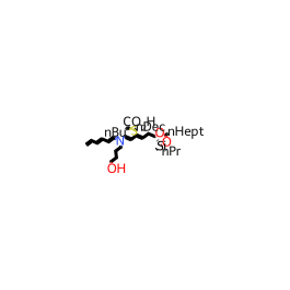 C=CC=CC=CN(C=CC=CCCOC(CCCCCCC)O[Si](C)(C)CCC)CCCCO.CCCCCCCCCCSC(CCCC)C(=O)O